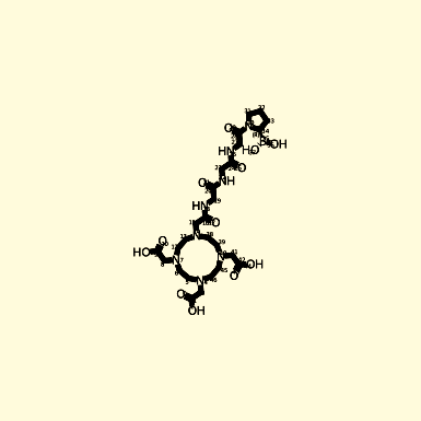 O=C(O)CN1CCN(CC(=O)O)CCN(CC(=O)NCC(=O)NCC(=O)NCC(=O)N2CCC[C@H]2B(O)O)CCN(CC(=O)O)CC1